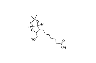 CC1(C)O[C@H]2O[C@H](CO)[C@@H](CCCCCCC(=O)O)[C@H]2O1